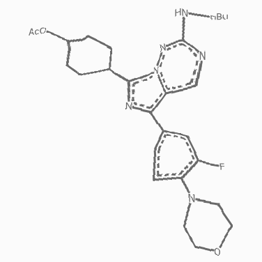 CCCCNc1ncc2c(-c3ccc(N4CCOCC4)c(F)c3)nc(C3CCC(OC(C)=O)CC3)n2n1